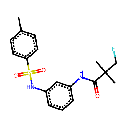 Cc1ccc(S(=O)(=O)Nc2cccc(NC(=O)C(C)(C)CF)c2)cc1